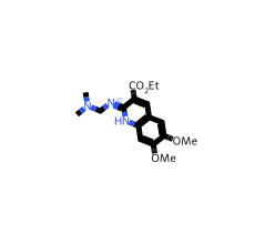 CCOC(=O)c1cc2cc(OC)c(OC)cc2[nH]/c1=N\CN(C)C